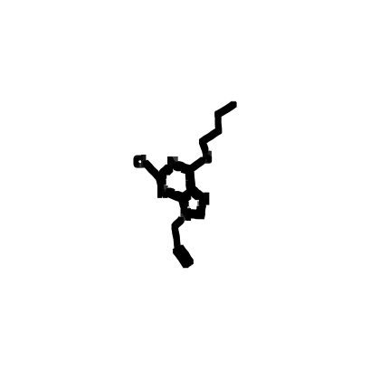 C#CCn1cnc2c(SCCCC)nc(Cl)nc21